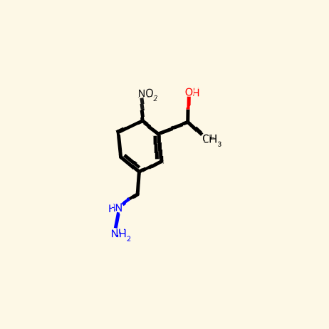 CC(O)C1=CC(CNN)=CCC1[N+](=O)[O-]